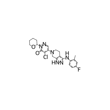 Cc1cc(F)ccc1Nc1n[nH]c2c1CCN(c1cnn(C3CCCCO3)c(=O)c1Cl)C2